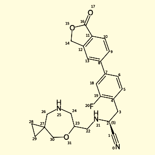 N#C[C@H](Cc1ccc(-c2ccc3c(c2)COC3=O)cc1F)NCC1CNCC2(CC2)CO1